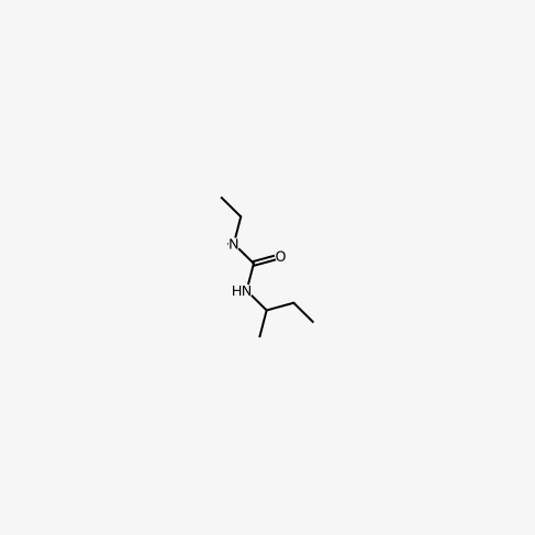 CC[N]C(=O)NC(C)CC